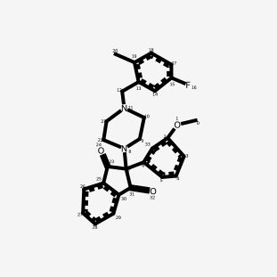 COc1cccc(C2(N3CCN(Cc4cc(F)ccc4C)CC3)C(=O)c3ccccc3C2=O)c1